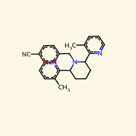 Cc1cccnc1C1CCCC(c2ncccc2C)N1Cc1ccc(C#N)cc1